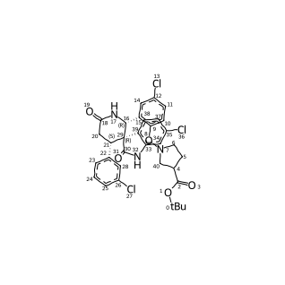 CC(C)(C)OC(=O)C1CCN(Oc2ccc(Cl)cc2[C@H]2NC(=O)C[C@@H](c3cccc(Cl)c3)[C@]23C(=O)Nc2cc(Cl)ccc23)C1